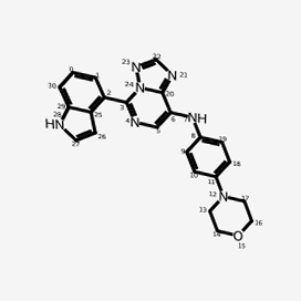 c1cc(-c2ncc(Nc3ccc(N4CCOCC4)cc3)c3ncnn23)c2cc[nH]c2c1